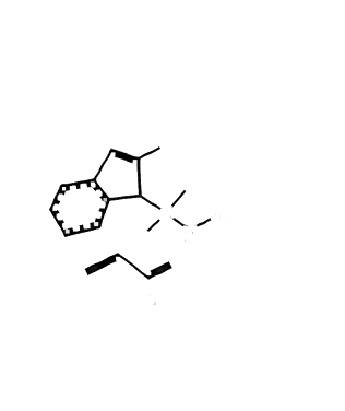 C=CC=C.CC1=Cc2ccccc2[CH]1[Ti]([CH3])([CH3])[NH]C(C)(C)C.[SiH4]